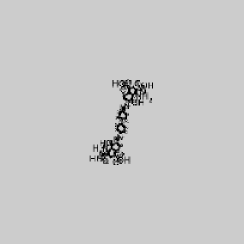 Nc1c(S(=O)(=O)O)cc(S(=O)(=O)O)c2ccc(N=Nc3ccc(-c4ccc(/N=N/c5ccc6c(S(=O)(=O)O)cc(S(=O)(=O)O)c(N)c6c5O)cc4)cc3)c(O)c12